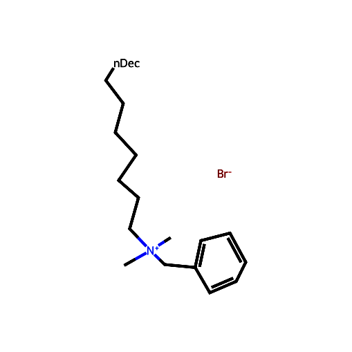 CCCCCCCCCCCCCCCCC[N+](C)(C)Cc1ccccc1.[Br-]